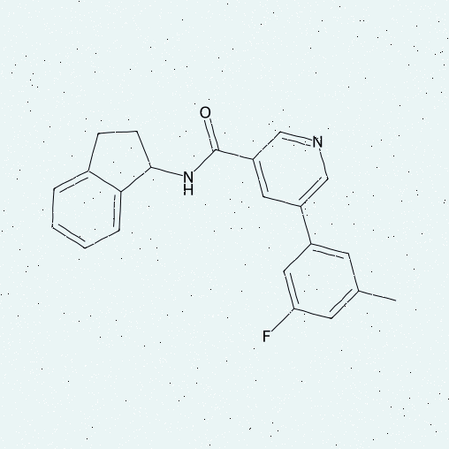 Cc1cc(F)cc(-c2cncc(C(=O)NC3CCc4ccccc43)c2)c1